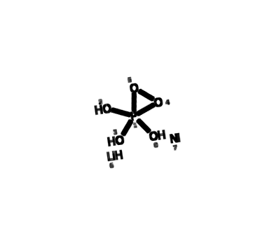 OP1(O)(O)OO1.[LiH].[Ni]